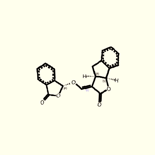 O=C1O[C@@H]2c3ccccc3C[C@@H]2/C1=C\O[C@@H]1OC(=O)c2ccccc21